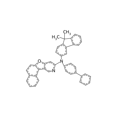 CC1(C)c2ccccc2-c2cc(N(c3ccc(-c4ccccc4)cc3)c3cc4oc5ccc6ccccc6c5c4cn3)ccc21